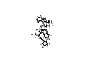 C=C/C=C(/C#Cc1ccncc1)c1c(C)nc([C@H](C)NC(=O)c2c(N)nn3cccnc23)n1-c1ccccc1